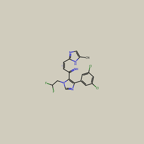 N#Cc1cnc(/C=C\C(=N)c2c(-c3cc(Cl)cc(Cl)c3)ncn2CC(F)F)[nH]1